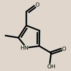 Cc1[nH]c(C(=O)O)cc1C=O